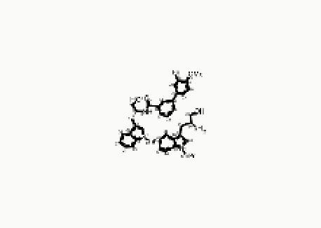 CCCn1cc(C[C@H](CO)NC(=O)c2cccc(-c3ccc(OC)c(F)c3)c2)c2ccccc21.CCCn1cc(C[C@H](N)CO)c2ccccc21